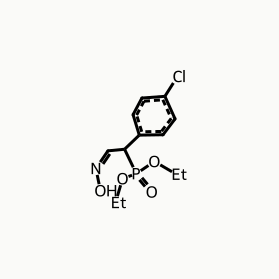 CCOP(=O)(OCC)C(/C=N\O)c1ccc(Cl)cc1